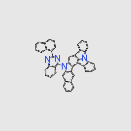 c1ccc2cc3c(cc2c1)c1c2c4ccccc4n4c5ccccc5c(cc1n3-c1nc(-c3cccc5ccccc35)nc3ccccc13)c24